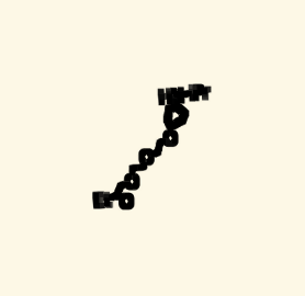 CCC(=O)COCCOCCOc1ccc(NC(C)C)cc1